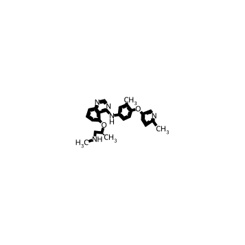 CNC[C@@H](C)Oc1cccc2ncnc(Nc3ccc(Oc4ccc(C)nc4)c(C)c3)c12